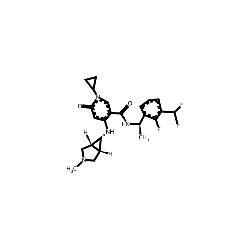 C[C@@H](NC(=O)c1cn(C2CC2)c(=O)cc1N[C@@H]1[C@@H]2CN(C)C[C@@H]21)c1cccc(C(F)F)c1F